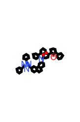 c1ccc(-c2nc(-c3ccccc3)nc(-c3ccc4ccc5ccc(N(c6ccc(-c7cccc8c7oc7ccccc78)cc6)c6ccccc6-c6ccccc6)cc5c4c3)n2)cc1